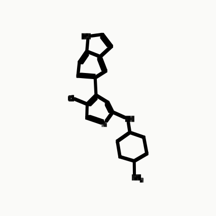 NC1CCC(Nc2cc(-c3ccc4[nH]ccc4c3)c(Cl)cn2)CC1